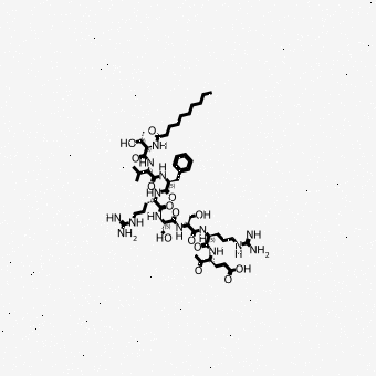 CCCCCCCCCC(=O)N[C@H](C(=O)N[C@H](C(=O)N[C@@H](Cc1ccccc1)C(=O)N[C@@H](CCCNC(=N)N)C(=O)N[C@@H](CO)C(=O)N[C@@H](CO)C(=O)N[C@@H](CCCNC(=N)N)C(=O)N[C@@H](CCC(=O)O)C(C)=O)C(C)C)[C@@H](C)O